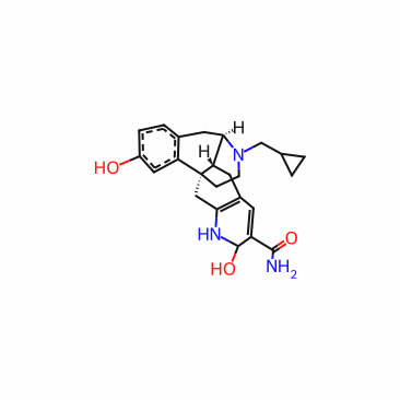 NC(=O)C1=CC2=C(C[C@]34CCN(CC5CC5)[C@H](Cc5ccc(O)cc53)[C@@H]4C2)NC1O